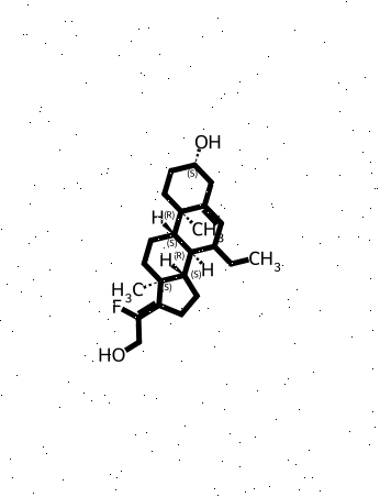 CCC1C=C2C[C@@H](O)CC[C@]2(C)[C@H]2CC[C@]3(C)C(=C(F)CO)CC[C@H]3[C@H]12